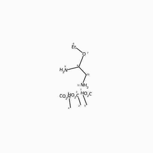 CC(=O)O.CC(=O)O.CC(=O)O.CCOC(N)CN